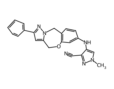 Cn1cc(Nc2ccc3c(c2)OCc2cc(-c4ccccc4)nn2C3)c(C#N)n1